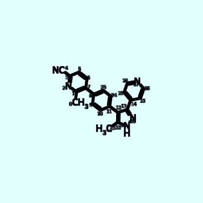 Cc1nc(C#N)ccc1-c1ccc(-c2c(-c3ccncc3)n[nH]c2C)cc1